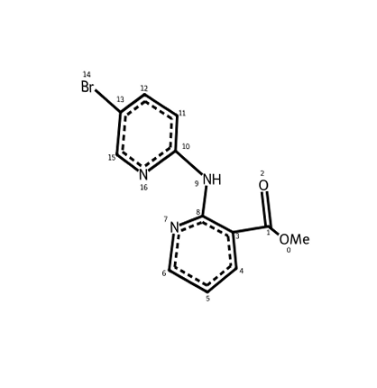 COC(=O)c1cccnc1Nc1ccc(Br)cn1